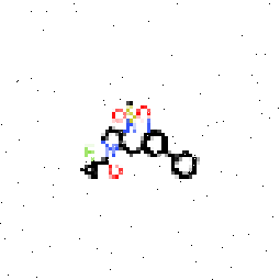 CS(=O)(=O)NC1CCN(C(=O)C2(F)CC2)C1Cc1cccc(-c2ccccc2)c1